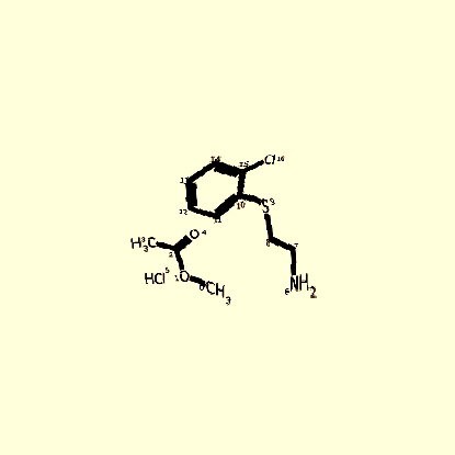 COC(C)=O.Cl.NCCSc1ccccc1Cl